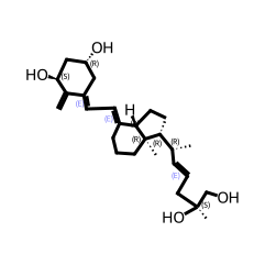 C=C1/C(=C/C=C2\CCC[C@]3(C)[C@@H]([C@H](C)/C=C/C[C@](C)(O)CO)CC[C@@H]23)C[C@@H](O)C[C@@H]1O